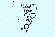 CC(C)(C)OC(=O)[C@@H]1CCCc2nn(Cc3cc(F)c(F)cc3F)c(=O)n21